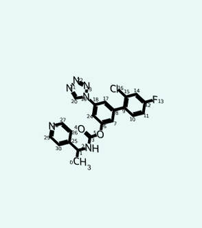 CC(NC(=O)Oc1cc(-c2ccc(F)cc2Cl)cc(-n2cnnn2)c1)c1ccncc1